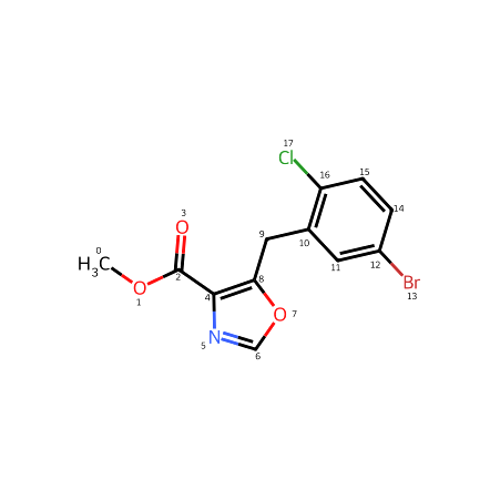 COC(=O)c1ncoc1Cc1cc(Br)ccc1Cl